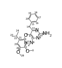 COc1cc(Oc2c(N)nc(N)nc2Cc2ccccc2)c(C(C)C)cc1OC